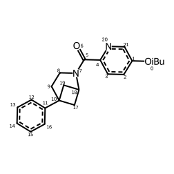 CC(C)COc1ccc(C(=O)N2CCC3(c4ccccc4)CC2C3)nc1